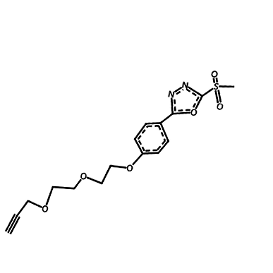 C#CCOCCOCCOc1ccc(-c2nnc(S(C)(=O)=O)o2)cc1